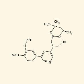 CCCOc1cc(-c2cncc([C@@H](CO)CB3O[C@H](C)CC(C)(C)O3)c2)ccc1OC